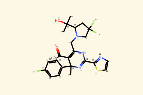 COC(=O)C1=C(CN2CC(F)(F)CC2C(C)(C)O)NC(c2nccs2)=NC1(C)c1ccc(F)cc1